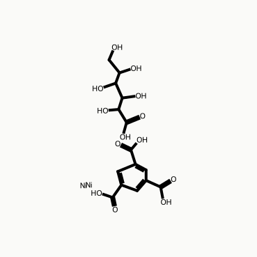 O=C(O)C(O)C(O)C(O)C(O)CO.O=C(O)c1cc(C(=O)O)cc(C(=O)O)c1.[Ni].[Ni]